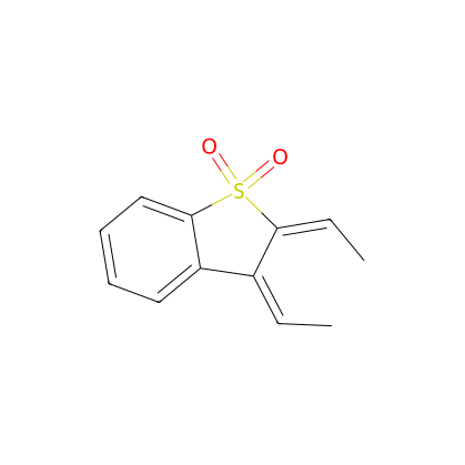 C/C=C1\C(=C/C)S(=O)(=O)c2ccccc21